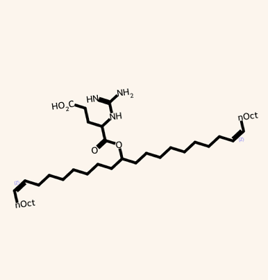 CCCCCCCC/C=C\CCCCCCCCC(CCCCCCC/C=C\CCCCCCCC)OC(=O)C(CCC(=O)O)NC(=N)N